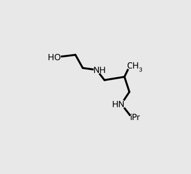 CC(CNCCO)CNC(C)C